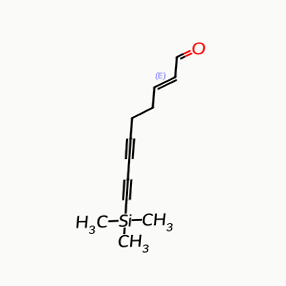 C[Si](C)(C)C#CC#CCC/C=C/C=O